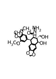 COc1cc([C@@H]2c3cc4c(cc3[C@H](O)[C@@H](CO)[C@H]2C(=O)NN)OCO4)cc(OC)c1OC